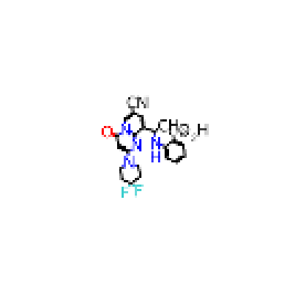 CC(Nc1ccccc1C(=O)O)c1cc(C#N)cn2c(=O)cc(N3CCC(F)(F)CC3)nc12